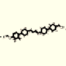 CCOc1ccc(C2CCC(CC/C=C/C3CCC(C4CCC(CC)CC4)CC3)CC2)c(F)c1F